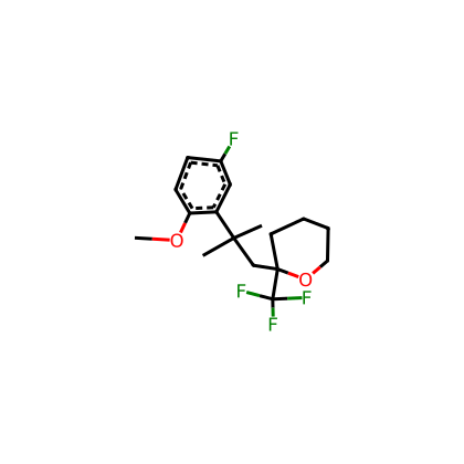 COc1ccc(F)cc1C(C)(C)CC1(C(F)(F)F)CCCCO1